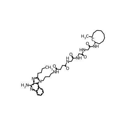 CCCCc1nc2c(N)nc3ccccc3c2n1CCCCNC(=O)CCC(=O)NCC(=O)NCC(=O)NCC(=O)NC1CCCCCCCC(C)C1